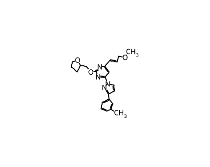 COCC=Cc1cc(-n2ccc(-c3cccc(C)c3)n2)nc(OCC2CCCO2)n1